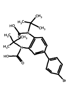 CC(C)(C)N(C(=O)O)c1ccc(-c2ccc(Br)cc2)cc1N(C(=O)O)C(C)(C)C